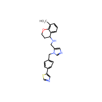 O=C(O)c1cccc2c1OCCC2NCc1cncn1Cc1ccc(-c2cncs2)cc1